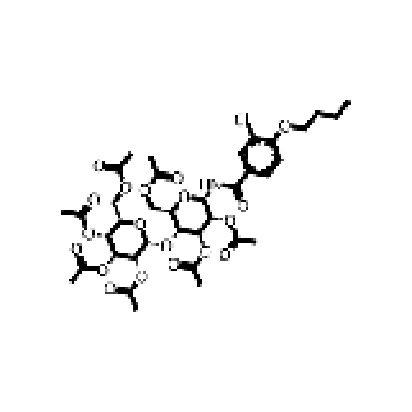 CCCCOc1ccc(C(=O)N[C@@H]2O[C@H](COC(C)=O)[C@@H](O[C@H]3O[C@H](COC(C)=O)[C@@H](OC(C)=O)[C@H](OC(C)=O)[C@H]3OC(C)=O)[C@H](OC(C)=O)[C@H]2OC(C)=O)cc1Cl